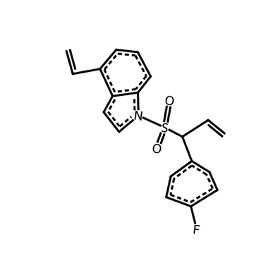 C=Cc1cccc2c1ccn2S(=O)(=O)C(C=C)c1ccc(F)cc1